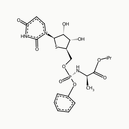 CC(C)OC(=O)[C@@H](C)N[P@](=O)(OC[C@H]1S[C@@H](n2ccc(=O)[nH]c2=O)[C@H](O)[C@@H]1O)Oc1ccccc1